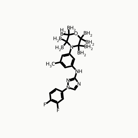 BC1(B)OC(B)(B)C(B)(B)N(c2cc(C)cc(Nc3ncn(-c4ccc(F)c(F)c4)n3)c2)C1(B)B